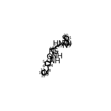 O=C(Nc1cccc(CN2CC=CC2)c1)Nc1ncc(CCNc2ncnc3c2SCC3)s1